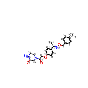 CC/C(=N\OCc1ccc(C(F)(F)F)cc1)c1ccc(OCC(=O)N2CCNC(=O)C2)cc1